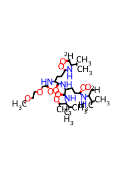 [2H]C(=O)C(NC(=O)CCC(NC(=O)COCCOC)C(=O)NC(CCC(=O)NC(C([2H])=O)C(C)C)C(=O)NC(C(C)=O)C(C)C)C(C)C